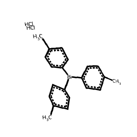 Cc1cc[c]([Bi]([c]2ccc(C)cc2)[c]2ccc(C)cc2)cc1.Cl.Cl